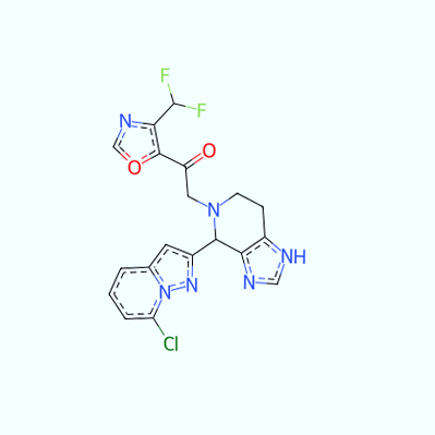 O=C(CN1CCc2[nH]cnc2C1c1cc2cccc(Cl)n2n1)c1ocnc1C(F)F